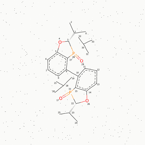 CC(C)[C@H]1Oc2cccc(-c3cccc4c3[P@](=O)(C(C)(C)C)[C@@H](C(C)C)O4)c2[P@]1(=O)C(C)(C)C